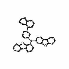 c1cc(-c2cccc3ccccc23)cc(N(c2ccc3c(c2)oc2ccccc23)c2cccc3c2oc2ccccc23)c1